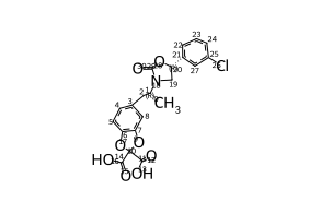 C[C@H](Cc1ccc2c(c1)OC(C(=O)O)(C(=O)O)O2)N1C[C@@H](c2cccc(Cl)c2)OC1=O